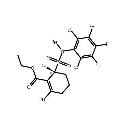 [2H]C1=C(C(=O)OCC)[C@]([2H])(S(=O)(=O)N([2H])c2c([2H])c([2H])c(F)c([2H])c2Cl)CCC1